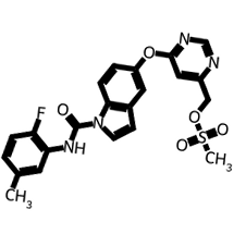 Cc1ccc(F)c(NC(=O)n2ccc3cc(Oc4cc(COS(C)(=O)=O)ncn4)ccc32)c1